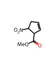 COC(=O)C1C=CCC1[N+](=O)[O-]